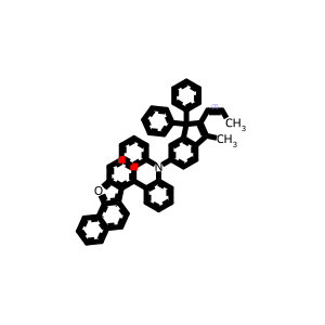 C/C=C\C1=C(C)c2ccc(N(c3ccccc3)c3ccccc3-c3cccc4oc5c6ccccc6ccc5c34)cc2C1(c1ccccc1)c1ccccc1